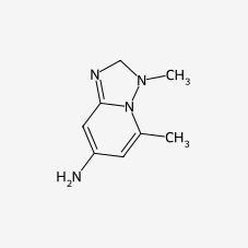 CC1=CC(N)=CC2=NCN(C)N12